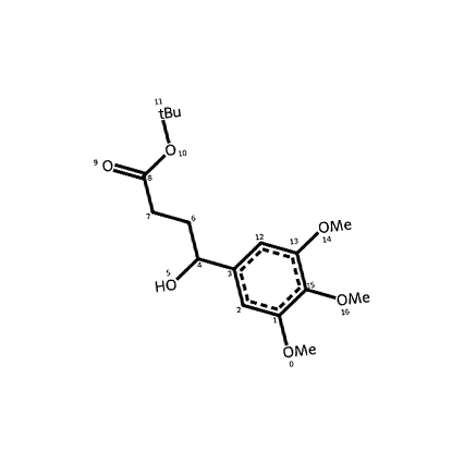 COc1cc(C(O)CCC(=O)OC(C)(C)C)cc(OC)c1OC